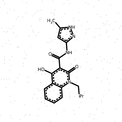 Cc1cc(NC(=O)c2c(O)c3ccccc3n(CC(C)C)c2=O)n[nH]1